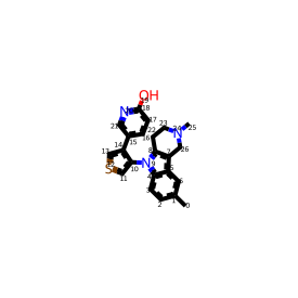 Cc1ccc2c(c1)c1c(n2-c2cscc2-c2ccc(O)nc2)CCN(C)C1